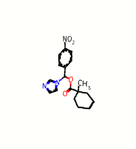 CC1(C(=O)OC(c2ccc([N+](=O)[O-])cc2)n2ccnc2)CCCCC1